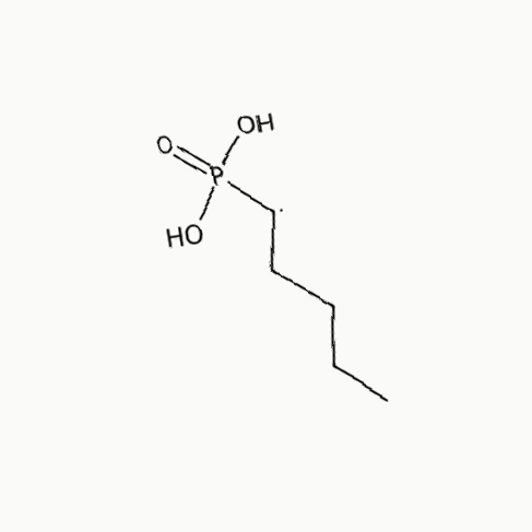 CCCC[CH]P(=O)(O)O